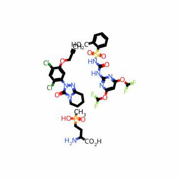 C#CCOc1cc(-n2nc3n(c2=O)CCCC3)c(Cl)cc1Cl.CP(=O)(O)CCC(N)C(=O)O.O=C(Nc1nc(OC(F)F)cc(OC(F)F)n1)NS(=O)(=O)c1ccccc1C(=O)O